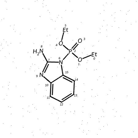 CCOP(=O)(OCC)n1c(N)nc2ccccc21